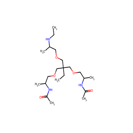 CCNC(C)COCC(CC)(COCC(C)NC(C)=O)COCC(C)NC(C)=O